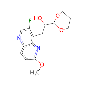 COc1ccc2ncc(F)c(CC(O)C3OCCCO3)c2n1